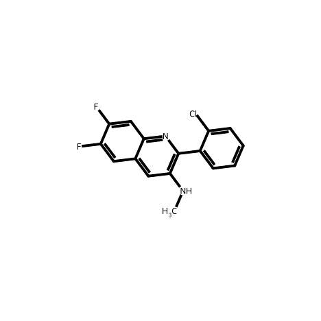 CNc1cc2cc(F)c(F)cc2nc1-c1ccccc1Cl